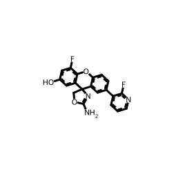 NC1=NC2(CO1)c1cc(-c3cccnc3F)ccc1Oc1c(F)cc(O)cc12